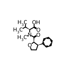 CC(C)[C@@H](C(=O)O)N(C)C(=O)[C@@H]1OCC[C@@H]1c1ccccc1